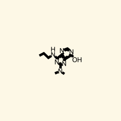 CCCNc1nc(N(C)C)nc2c(O)ncnc12